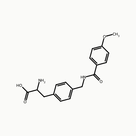 COc1ccc(C(=O)NCc2ccc(CC(N)C(=O)O)cc2)cc1